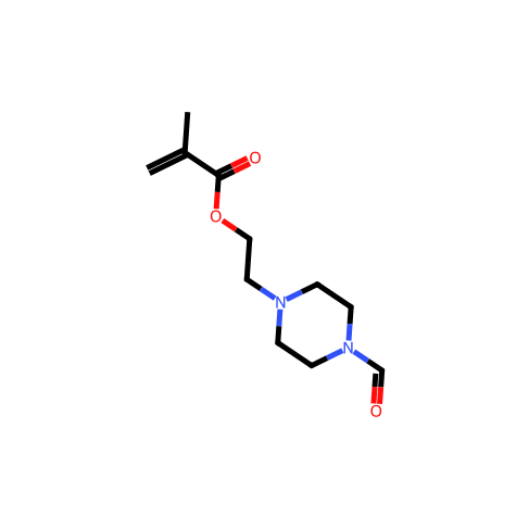 C=C(C)C(=O)OCCN1CCN(C=O)CC1